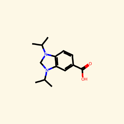 CC(C)N1CN(C(C)C)c2cc(C(=O)O)ccc21